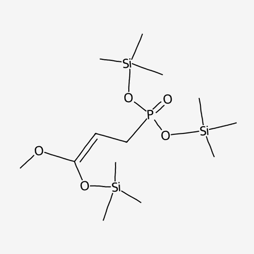 COC(=CCP(=O)(O[Si](C)(C)C)O[Si](C)(C)C)O[Si](C)(C)C